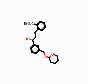 CCOC(=O)c1ccccc1CC[C@H](O)c1cccc(COC2CCCCO2)c1